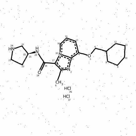 Cc1nc2c(OCC3CCCCC3)cccn2c1C(=O)N[C@H]1CCNC1.Cl.Cl